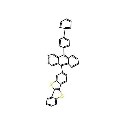 c1ccc(-c2ccc(-c3c4ccccc4c(-c4ccc5c(c4)sc4c6ccccc6sc54)c4ccccc34)cc2)cc1